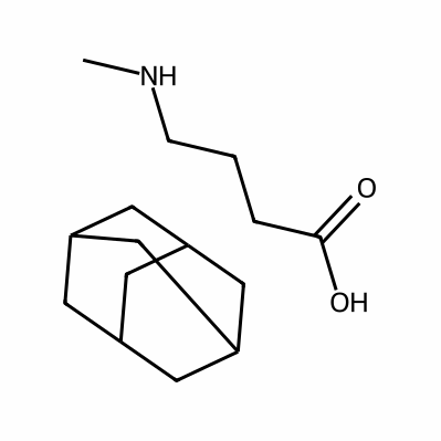 C1C2CC3CC1CC(C2)C3.CNCCCC(=O)O